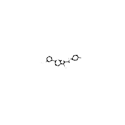 COc1cccc(-c2ccc3c(N)c(C(=O)Nc4ccc(C(F)(F)F)cc4)sc3n2)c1